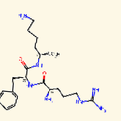 N=C(N)NCCC[C@@H](N)C(=O)N[C@@H](Cc1ccccc1)C(=O)N[C@@H](CCCCN)C(=O)O